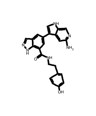 Nc1cc2c(-c3cc(C(=O)NCCc4ccc(O)cc4)c4[nH]ncc4c3)c[nH]c2cn1